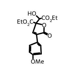 CCOC(=O)C(O)C1(C(=O)OCC)C=C(c2ccc(OC)cc2)C(=O)O1